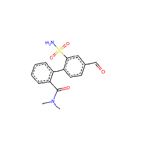 CN(C)C(=O)c1ccccc1-c1ccc(C=O)cc1S(N)(=O)=O